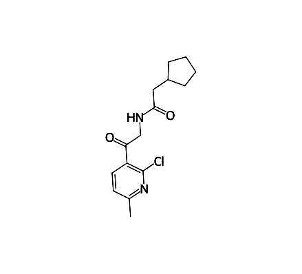 Cc1ccc(C(=O)CNC(=O)CC2CCCC2)c(Cl)n1